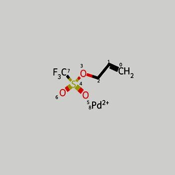 C=CCOS(=O)(=O)C(F)(F)F.[Pd+2]